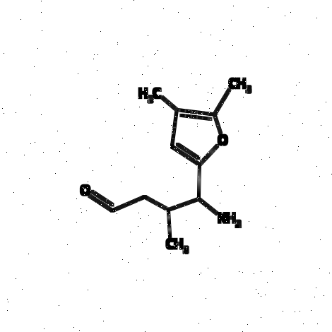 Cc1cc(C(N)C(C)CC=O)oc1C